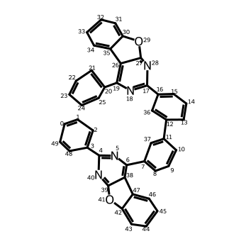 c1ccc(-c2nc(-c3cccc(-c4cccc(-c5nc(-c6ccccc6)c6c(n5)oc5ccccc56)c4)c3)c3c(n2)oc2ccccc23)cc1